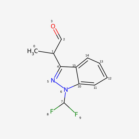 CC(C=O)c1nn(C(F)F)c2ccccc12